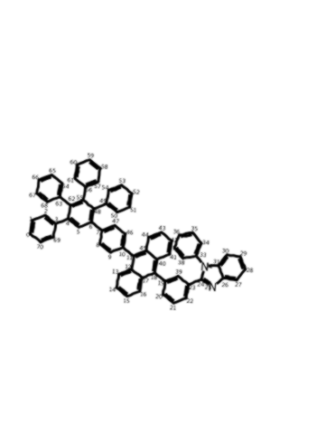 c1ccc(-c2cc(-c3ccc(-c4c5ccccc5c(-c5cccc(-c6nc7ccccc7n6-c6ccccc6)c5)c5ccccc45)cc3)c(-c3ccccc3)c(-c3ccccc3)c2-c2ccccc2)cc1